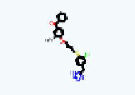 CCCc1cc(C(=O)c2ccccc2)ccc1OCCCCSc1ccc(Cc2nnn[nH]2)cc1Cl